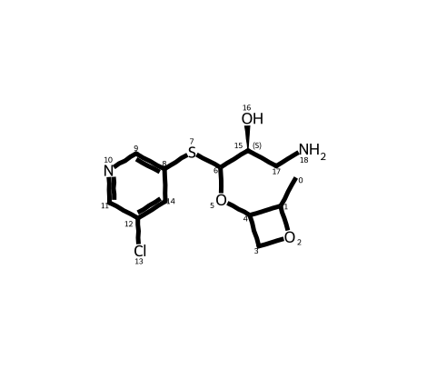 CC1OCC1OC(Sc1cncc(Cl)c1)[C@@H](O)CN